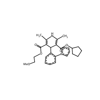 COCCOC(=O)C1=C(C)NC(C)=C(C(=O)OC2CCCC2)C1c1ccccc1-n1cccc1